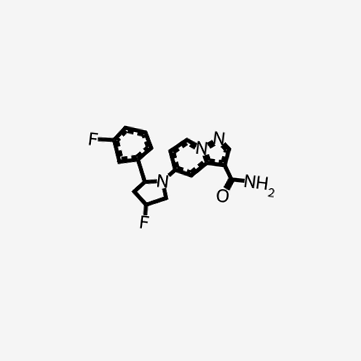 NC(=O)c1cnn2ccc(N3CC(F)CC3c3cccc(F)c3)cc12